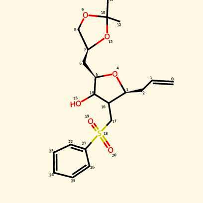 C=CC[C@@H]1O[C@H](C[C@H]2COC(C)(C)O2)C(O)C1CS(=O)(=O)c1ccccc1